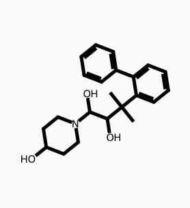 CC(C)(c1ccccc1-c1ccccc1)C(O)C(O)N1CCC(O)CC1